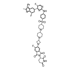 Cc1nc2c(F)cc(-c3nc(Nc4ccc(S(=O)(=O)C5CCN(C6CCN(C7CN(c8cc9c(cc8F)C(=O)N(C8CCC(=O)NC8=O)C9=O)C7)CC6)CC5)cc4)ncc3F)cc2n1C(C)C